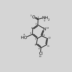 NC(=O)c1cc(O)c2cc(Cl)ccc2n1